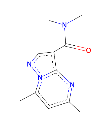 Cc1cc(C)n2ncc(C(=O)N(C)C)c2n1